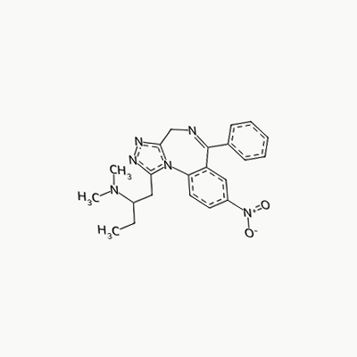 CCC(Cc1nnc2n1-c1ccc([N+](=O)[O-])cc1C(c1ccccc1)=NC2)N(C)C